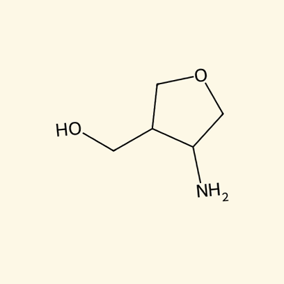 NC1COCC1CO